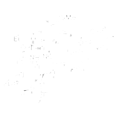 CC1(C)[C@H](C(=O)OC(C#N)c2cccc(Oc3ccccc3)c2)[C@@H]1C=C(Cl)Cl.CCOP(=O)(NC(C)C)Oc1ccc(SC)c(C)c1